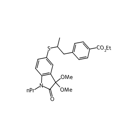 CCCN1C(=O)C(OC)(OC)c2cc(SC(C)Cc3ccc(C(=O)OCC)cc3)ccc21